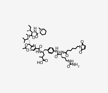 CC[C@H](C)[C@H](NC(=O)[C@H]1CCCCN1C)C(=O)N(C)[C@H](C[C@@H](OC(C)=O)c1nc(C(=O)N[C@@H](Cc2ccc(NC(=O)[C@H](CCCNC(N)=O)NC(=O)CCCCCN3C(=O)C=CC3=O)cc2)CC(C)C(=O)O)cs1)C(C)C